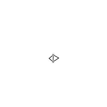 C1N2CN12